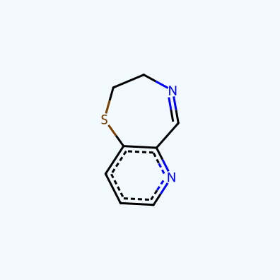 C1=NCCSc2cccnc21